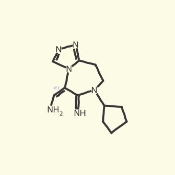 N=C1/C(=C\N)n2cnnc2CCN1C1CCCC1